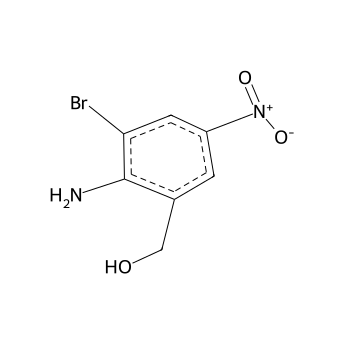 Nc1c(Br)cc([N+](=O)[O-])cc1CO